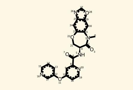 CN1C(=O)[C@@H](NC(=O)c2cc(Oc3cccnc3)ccn2)COc2cc3ncoc3cc21